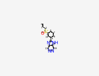 C=CC[S+]([O-])c1cccc(-c2nc3cnncc3[nH]2)c1